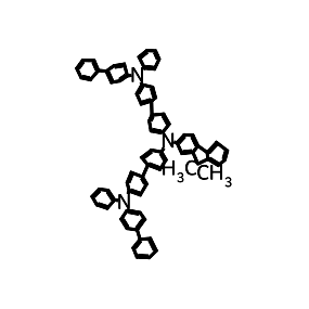 CC1(C)c2ccccc2-c2ccc(N(c3ccc(-c4ccc(N(c5ccccc5)c5ccc(-c6ccccc6)cc5)cc4)cc3)c3ccc(-c4ccc(N(c5ccccc5)c5ccc(-c6ccccc6)cc5)cc4)cc3)cc21